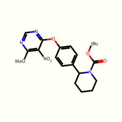 COc1ncnc(Oc2ccc(C3CCCCN3C(=O)OC(C)(C)C)cc2)c1[N+](=O)[O-]